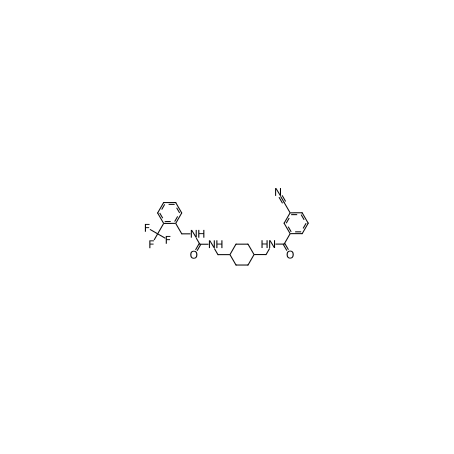 N#Cc1cccc(C(=O)NCC2CCC(CNC(=O)NCc3ccccc3C(F)(F)F)CC2)c1